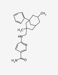 CC1CC2CC(C)(CNc3ccc(C(N)=O)cn3)CC(c3ccccc3)(C1)C2